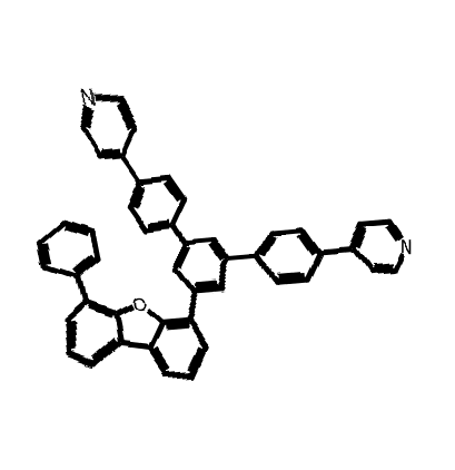 c1ccc(-c2cccc3c2oc2c(-c4cc(-c5ccc(-c6ccncc6)cc5)cc(-c5ccc(-c6ccncc6)cc5)c4)cccc23)cc1